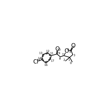 CC1(C)CC(=O)OC1CC(=O)c1ccc(Cl)cc1